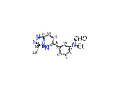 CCN(C=O)c1cccc(-c2ccc3nnc(C)n3n2)c1